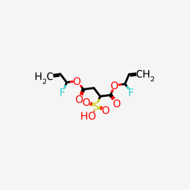 C=CC(F)OC(=O)CC(C(=O)OC(F)C=C)S(=O)(=O)O